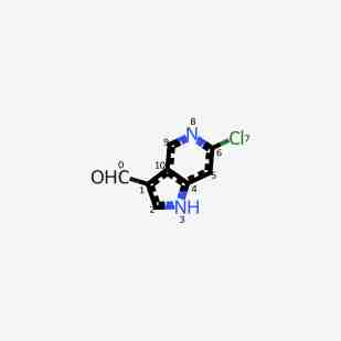 O=Cc1c[nH]c2cc(Cl)ncc12